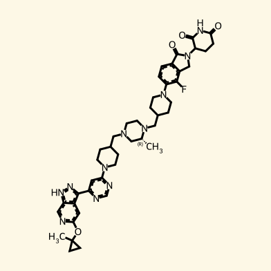 C[C@@H]1CN(CC2CCN(c3cc(-c4n[nH]c5cnc(OC6(C)CC6)cc45)ncn3)CC2)CCN1CC1CCN(c2ccc3c(c2F)CN(C2CCC(=O)NC2=O)C3=O)CC1